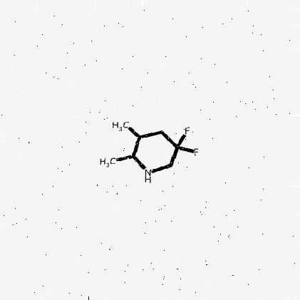 CC1CC(F)(F)CNC1C